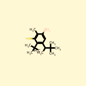 Bc1cc(C(C)C(C)(C)C)c(C(C)(C)C)c(S)c1C